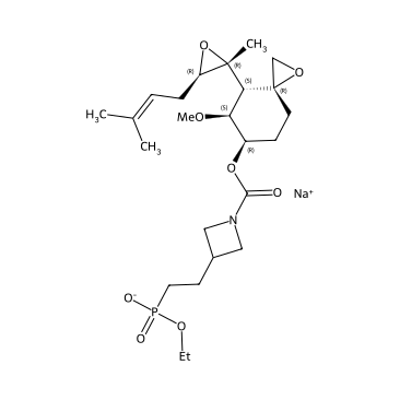 CCOP(=O)([O-])CCC1CN(C(=O)O[C@@H]2CC[C@]3(CO3)[C@@H]([C@@]3(C)O[C@@H]3CC=C(C)C)[C@@H]2OC)C1.[Na+]